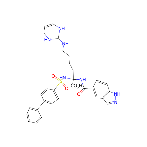 O=C(NC(CCCCNC1NC=CCN1)(NS(=O)(=O)c1ccc(-c2ccccc2)cc1)C(=O)O)c1ccc2[nH]ncc2c1